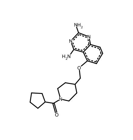 Nc1nc(N)c2c(OCC3CCN(C(=O)C4CCCC4)CC3)cccc2n1